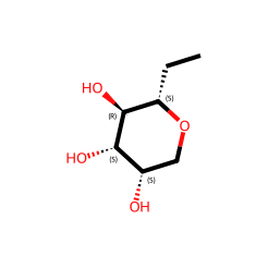 CC[C@@H]1OC[C@H](O)[C@H](O)[C@H]1O